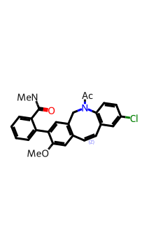 CNC(=O)c1ccccc1-c1cc2c(cc1OC)/C=C\c1cc(Cl)ccc1N(C(C)=O)C2